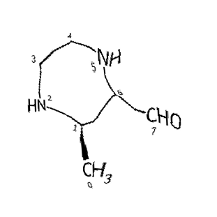 C[C@H]1NCCNC1C=O